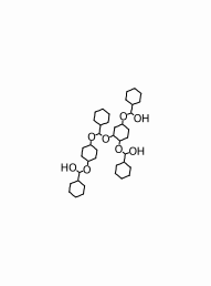 OC(OC1CCC(OC(OC2CC(OC(O)C3CCCCC3)CCC2OC(O)C2CCCCC2)C2CCCCC2)CC1)C1CCCCC1